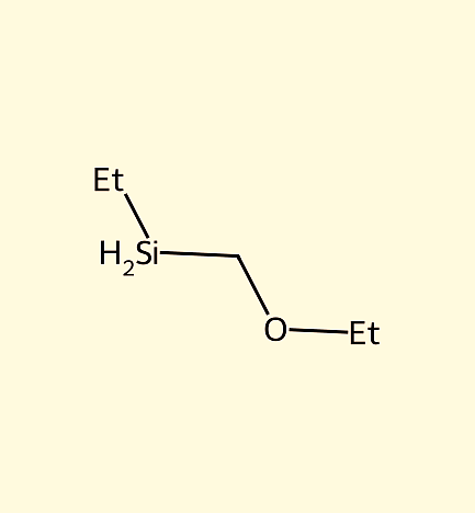 CCOC[SiH2]CC